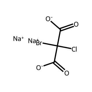 O=C([O-])C(Cl)(Br)C(=O)[O-].[Na+].[Na+]